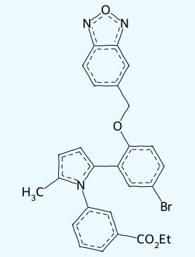 CCOC(=O)c1cccc(-n2c(C)ccc2-c2cc(Br)ccc2OCc2ccc3nonc3c2)c1